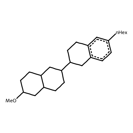 CCCCCCc1ccc2c(c1)CCC(C1CCC3CC(OC)CCC3C1)C2